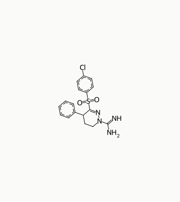 N=C(N)N1CCC(c2ccccc2)C(S(=O)(=O)c2ccc(Cl)cc2)=N1